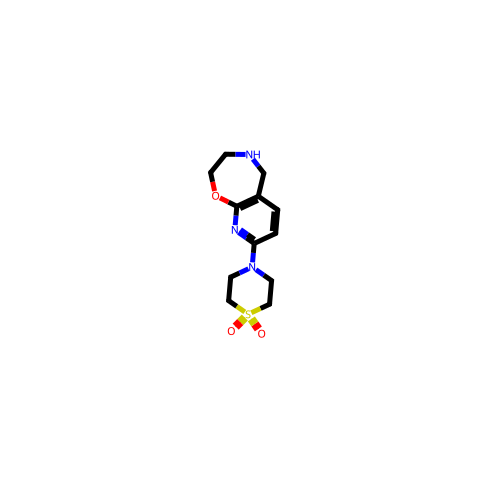 O=S1(=O)CCN(c2ccc3c(n2)OCCNC3)CC1